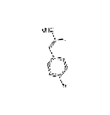 CC(C=O)=Cc1ccc(Br)cc1